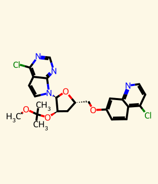 COC(C)(C)O[C@@H]1C[C@@H](COc2ccc3c(Cl)ccnc3c2)O[C@H]1n1ccc2c(Cl)ncnc21